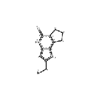 O=c1[nH]c2cc(CBr)sc2c2c1CCC2